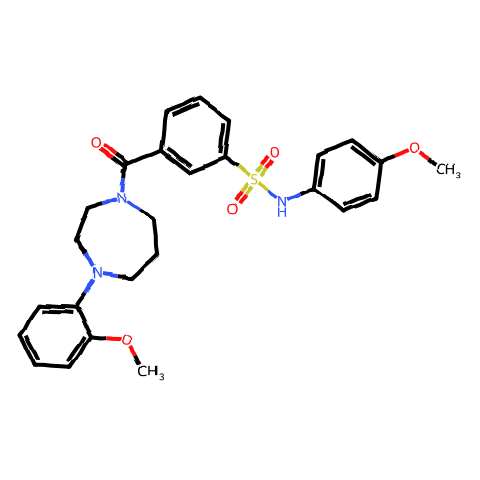 COc1ccc(NS(=O)(=O)c2cccc(C(=O)N3CCCN(c4ccccc4OC)CC3)c2)cc1